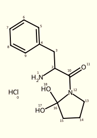 Cl.NC(Cc1ccccc1)C(=O)N1CCCC1(O)O